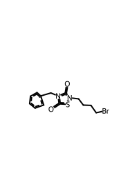 O=c1sn(CCCCBr)c(=O)n1Cc1ccccc1